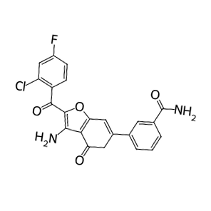 NC(=O)c1cccc(C2=Cc3oc(C(=O)c4ccc(F)cc4Cl)c(N)c3C(=O)C2)c1